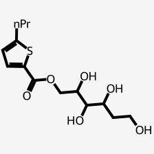 CCCc1ccc(C(=O)OCC(O)C(O)C(O)CCO)s1